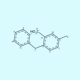 Cc1ccc(Cc2ccccc2)c(C(=O)O)c1